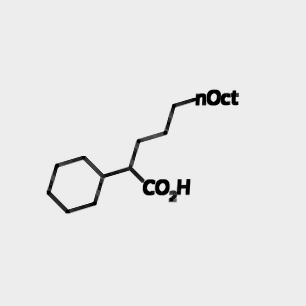 CCCCCCCCCCCC(C(=O)O)C1CCCCC1